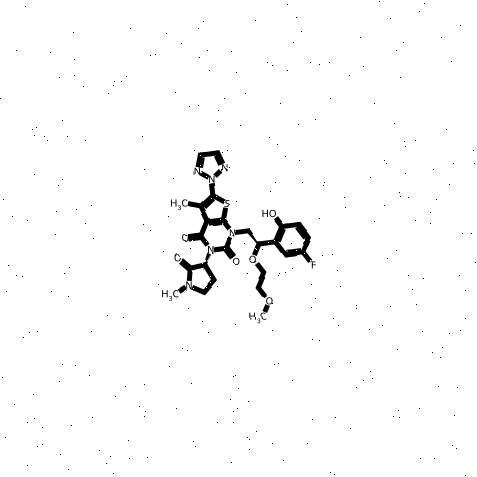 COCCO[C@@H](Cn1c(=O)n([C@H]2CCN(C)C2=O)c(=O)c2c(C)c(-n3nccn3)sc21)c1cc(F)ccc1O